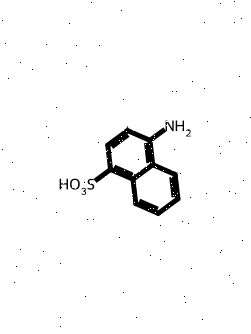 Nc1[c]cc(S(=O)(=O)O)c2ccccc12